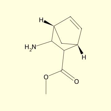 COC(=O)C1C(N)[C@@H]2C=C[C@H]1C2